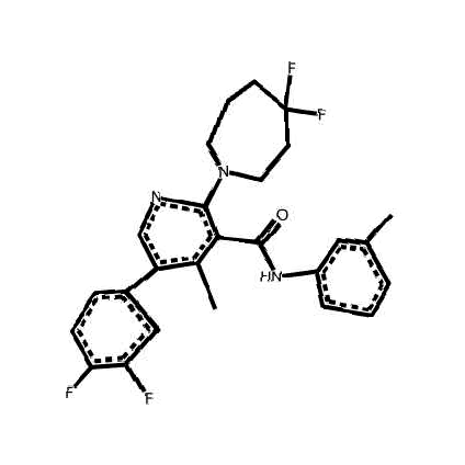 Cc1cccc(NC(=O)c2c(N3CCCC(F)(F)CC3)ncc(-c3ccc(F)c(F)c3)c2C)c1